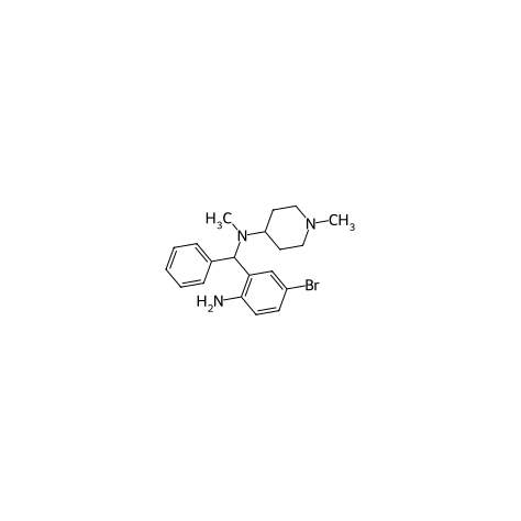 CN1CCC(N(C)C(c2ccccc2)c2cc(Br)ccc2N)CC1